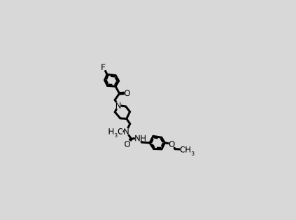 CCOc1ccc(CNC(=O)N(C)CC2CCN(CC(=O)c3ccc(F)cc3)CC2)cc1